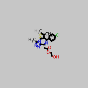 Cc1sc2c(c1C)C(c1ccc(Cl)cc1)=N[C@H](CC(=O)OCCO)c1nnc(C)n1-2